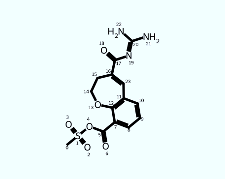 CS(=O)(=O)OC(=O)c1cccc2c1OCCC(C(=O)N=C(N)N)=C2